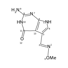 CON=Cc1c[nH]c2nc(N)[nH]c(=O)c12